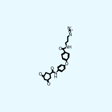 [N-]=[N+]=NCCCNC(=O)c1ccc(Oc2ccc(NC(=O)C3CC(=O)CC(=O)C3)cc2)cc1